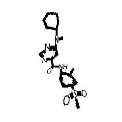 Cc1cc(S(C)(=O)=O)ccc1NC(=O)c1cc(N(C)C2CCCCC2)ncn1